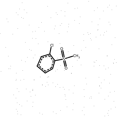 CS(=O)(=O)c1ccc[c]c1Cl